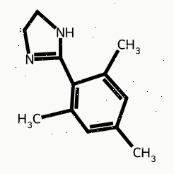 Cc1cc(C)c(C2=N[C]CN2)c(C)c1